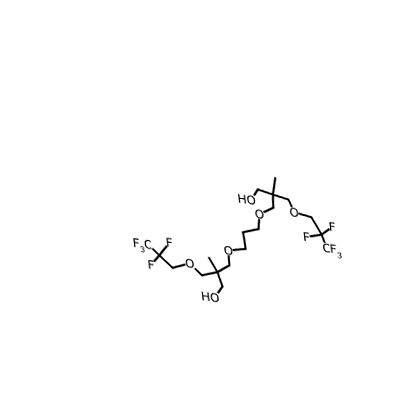 CC(CO)(COCCCOCC(C)(CO)COCC(F)(F)C(F)(F)F)COCC(F)(F)C(F)(F)F